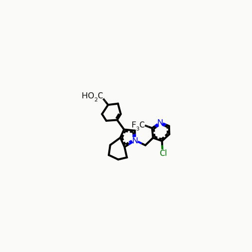 O=C(O)C1CC=C(c2cn(Cc3c(Cl)ccnc3C(F)(F)F)c3c2CCCC3)CC1